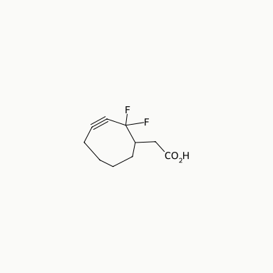 O=C(O)CC1CCCCC#CC1(F)F